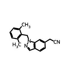 Cc1cccc(C)c1Cn1ncc2ccc(CC#N)cc21